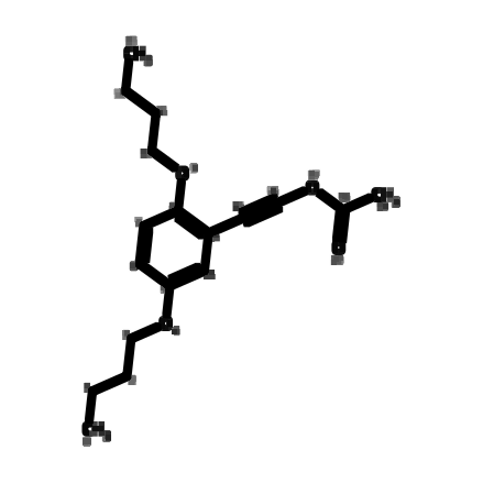 CCCCOc1[c]cc(OCCCC)c(C#COC(C)=O)c1